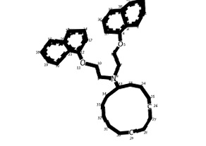 c1ccc2c(OCCN(CCOc3cccc4ccccc34)C3CCCCCCCCCCCC3)cccc2c1